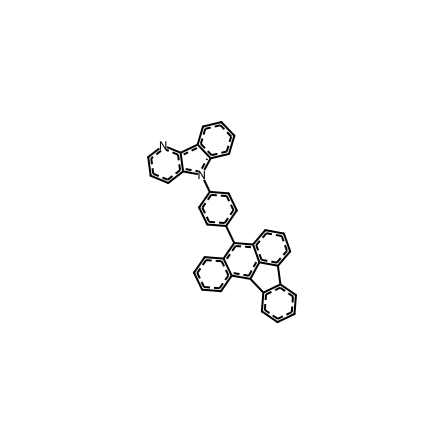 c1ccc2c(c1)-c1cccc3c(-c4ccc(-n5c6ccccc6c6ncccc65)cc4)c4ccccc4c-2c13